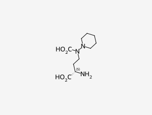 N[C@@H](CCN(C(=O)O)N1CCCCC1)C(=O)O